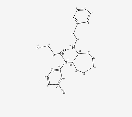 CN(CCc1ccccc1)C1CCCCCC1N(C(=O)CCBr)c1cccc(Br)c1